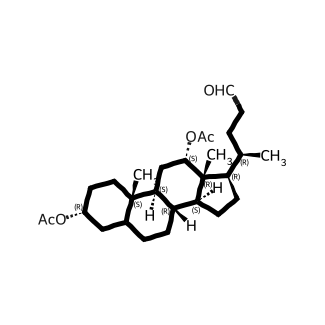 CC(=O)O[C@@H]1CC[C@@]2(C)C(CC[C@H]3[C@@H]4CC[C@H]([C@H](C)CCC=O)[C@@]4(C)[C@@H](OC(C)=O)C[C@@H]32)C1